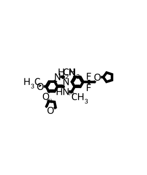 COc1cc2nc(C)nc(N[C@H](C)c3cc(N)cc(C(F)(F)COC4CCCC4)c3)c2cc1O[C@H]1CCOC1